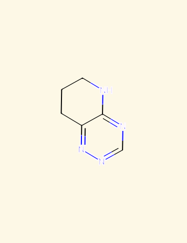 c1nnc2c(n1)NCCC2